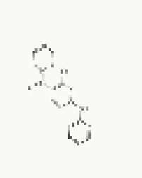 O=C(c1ccc(Nc2ccccc2)cc1Cl)N1C=CN=CC1